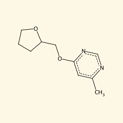 Cc1cc(OCC2CCCO2)ncn1